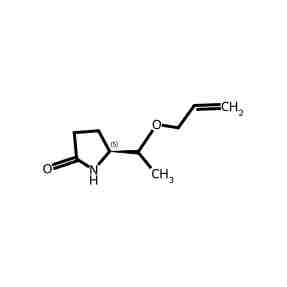 C=CCOC(C)[C@@H]1CCC(=O)N1